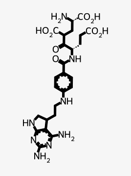 Nc1nc(N)c2c(n1)NCC2CCNc1ccc(C(=O)N[C@@H](CCC(=O)O)C(=O)C(C[C@H](N)C(=O)O)C(=O)O)cc1